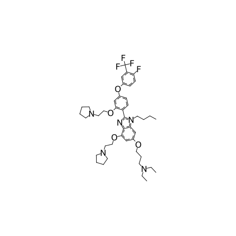 CCCCn1c(-c2ccc(Oc3ccc(F)c(C(F)(F)F)c3)cc2OCCN2CCCC2)nc2c(OCCN3CCCC3)cc(OCCCN(CC)CC)cc21